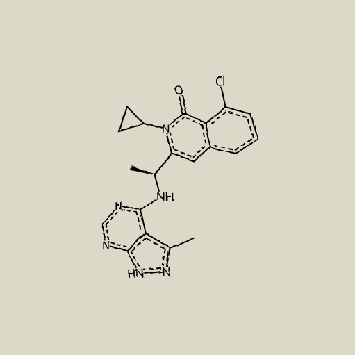 Cc1n[nH]c2ncnc(N[C@@H](C)c3cc4cccc(Cl)c4c(=O)n3C3CC3)c12